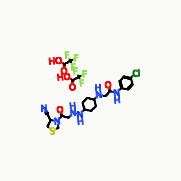 N#CC1CSCN1C(=O)CNNC1CCC(NCC(=O)Nc2ccc(Cl)cc2)CC1.O=C(O)C(F)(F)F.O=C(O)C(F)(F)F